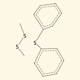 CSSC.c1ccc(Sc2ccccc2)cc1